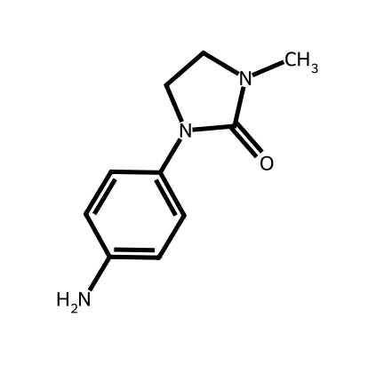 CN1CCN(c2ccc(N)cc2)C1=O